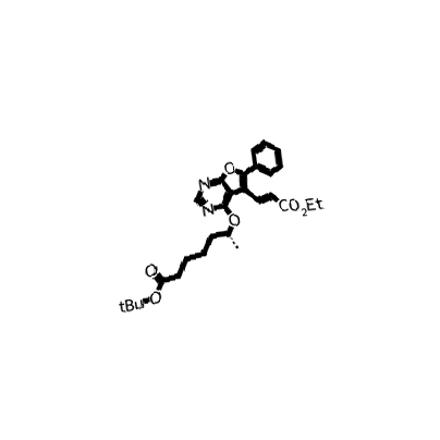 CCOC(=O)/C=C/c1c(-c2ccccc2)oc2ncnc(O[C@H](C)CCCCC(=O)OC(C)(C)C)c12